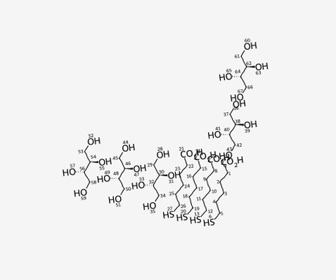 O=C(O)CCCCCS.O=C(O)CCCCCS.O=C(O)CCCCCS.O=C(O)CCCCCS.OC[C@@H](O)[C@@H](O)CO.OC[C@@H](O)[C@@H](O)CO.OC[C@@H](O)[C@@H](O)CO.OC[C@@H](O)[C@@H](O)CO.OC[C@@H](O)[C@@H](O)CO